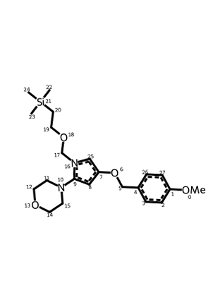 COc1ccc(COc2cc(N3CCOCC3)n(COCC[Si](C)(C)C)c2)cc1